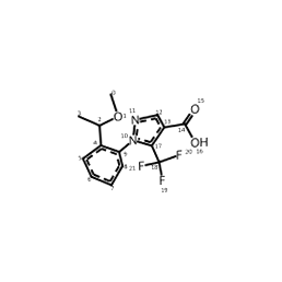 COC(C)c1ccccc1-n1ncc(C(=O)O)c1C(F)(F)F